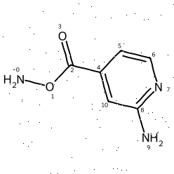 NOC(=O)c1ccnc(N)c1